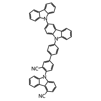 N#Cc1cc(-c2ccc(-n3c4ccccc4c4cc(-n5c6ccccc6c6ccccc65)ccc43)cc2)ccc1-n1c2ccccc2c2c(C#N)cccc21